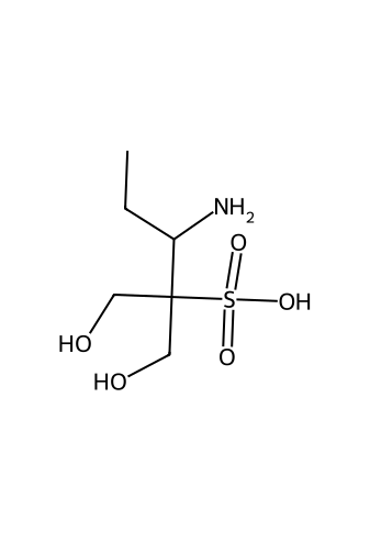 CCC(N)C(CO)(CO)S(=O)(=O)O